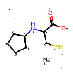 O=C([O-])C(CS)NC1CCCC1.[Na+]